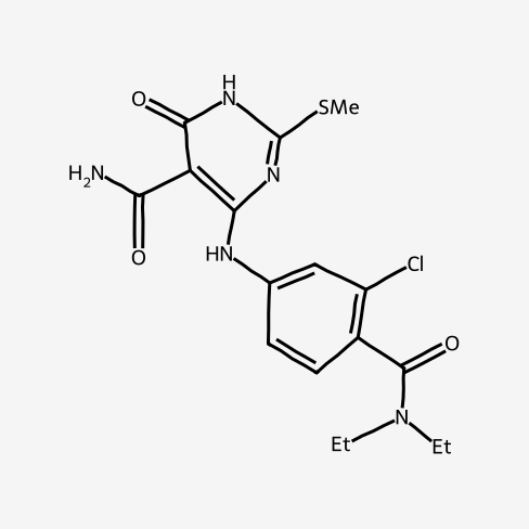 CCN(CC)C(=O)c1ccc(Nc2nc(SC)[nH]c(=O)c2C(N)=O)cc1Cl